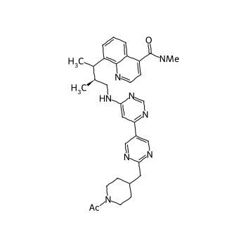 CNC(=O)c1ccnc2c(C(C)[C@H](C)CNc3cc(-c4cnc(CC5CCN(C(C)=O)CC5)nc4)ncn3)cccc12